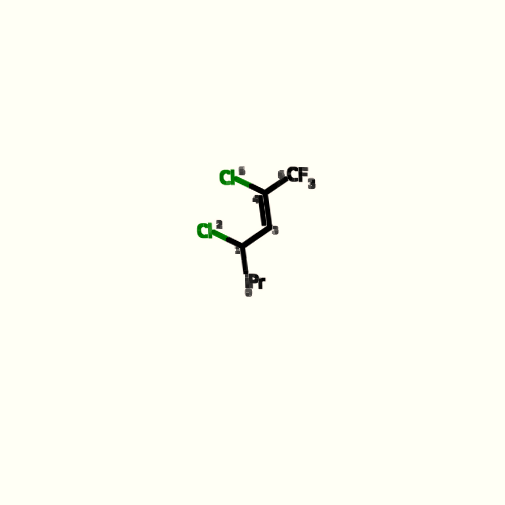 CC(C)C(Cl)C=C(Cl)C(F)(F)F